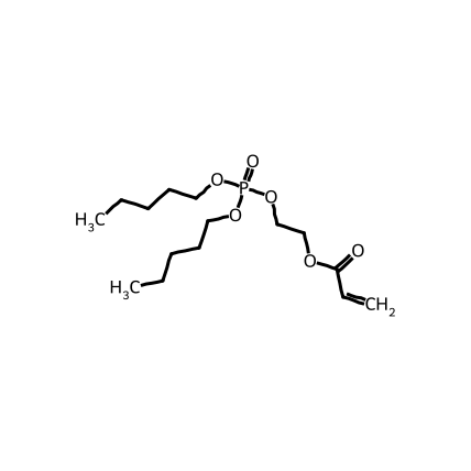 C=CC(=O)OCCOP(=O)(OCCCCC)OCCCCC